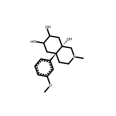 COc1cccc([C@]23CCN(C)C[C@]2(O)CC(O)C(O)C3)c1